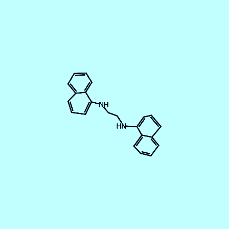 c1ccc2c(NCCNc3cccc4ccccc34)cccc2c1